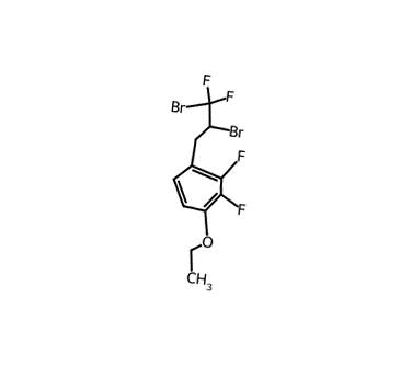 CCOc1ccc(CC(Br)C(F)(F)Br)c(F)c1F